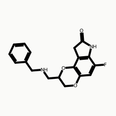 O=C1Cc2c(c(F)cc3c2OC(CNCc2ccccc2)CO3)N1